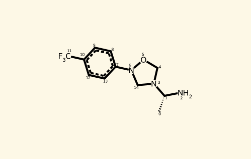 C[C@@H](N)N1CON(c2ccc(C(F)(F)F)cc2)C1